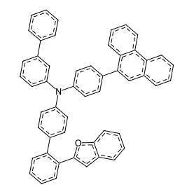 c1ccc(-c2cccc(N(c3ccc(-c4ccccc4-c4cc5ccccc5o4)cc3)c3ccc(-c4cc5ccccc5c5ccccc45)cc3)c2)cc1